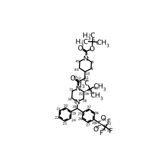 CC(C)(C)OC(=O)N1CCC(CC(=O)N2CCN(C(c3ccccc3)c3ccc(S(=O)(=O)C(F)(F)F)cc3)C[C@@H]2C(C)(C)C)CC1